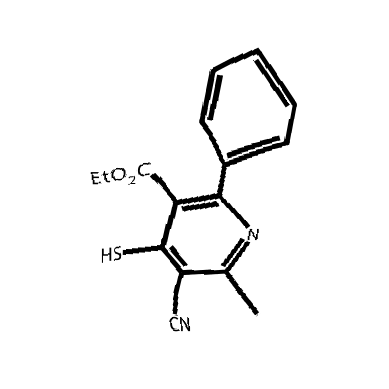 CCOC(=O)c1c(-c2ccccc2)nc(C)c(C#N)c1S